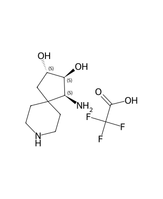 N[C@@H]1[C@H](O)[C@@H](O)CC12CCNCC2.O=C(O)C(F)(F)F